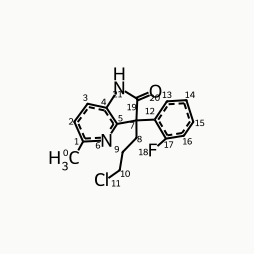 Cc1ccc2c(n1)C(CCCCl)(c1ccccc1F)C(=O)N2